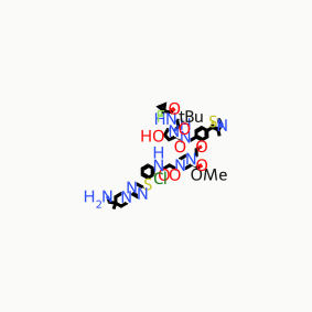 COC(=O)[C@@H]1CN(C(=O)CC(=O)Nc2cccc(Sc3cnc(N4CCC(C)(CN)CC4)cn3)c2Cl)CCN1CCOc1cc(-c2scnc2C)ccc1CNC(=O)[C@@H]1C[C@@H](O)CN1C(=O)[C@@H](NC(=O)C1(F)CC1)C(C)(C)C